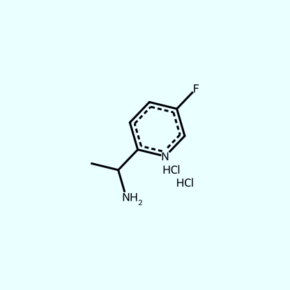 CC(N)c1ccc(F)cn1.Cl.Cl